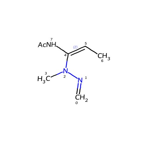 C=NN(C)/C(=C\C)NC(C)=O